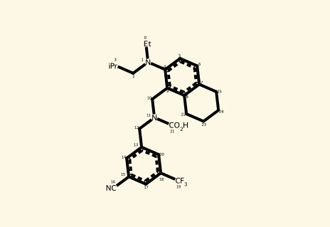 CCN(CC(C)C)c1ccc2c(c1CN(Cc1cc(C#N)cc(C(F)(F)F)c1)C(=O)O)CCCC2